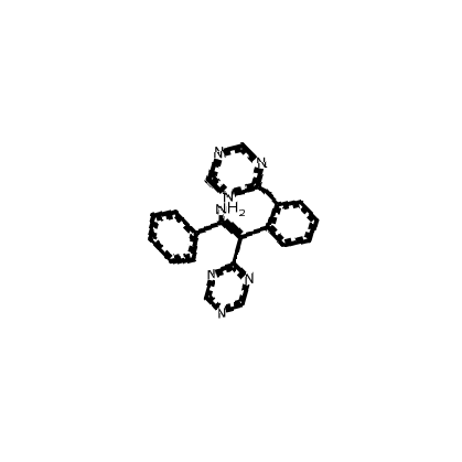 NC(=C(c1ncncn1)c1ccccc1-c1ncncn1)c1ccccc1